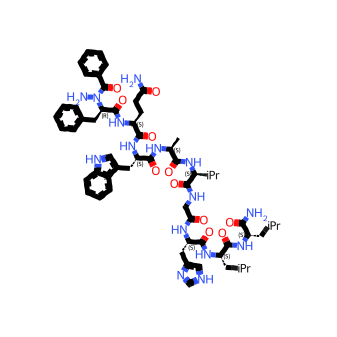 CC(C)C[C@H](NC(=O)[C@H](CC(C)C)NC(=O)[C@H](Cc1c[nH]cn1)NC(=O)CNC(=O)[C@@H](NC(=O)[C@H](C)NC(=O)[C@H](Cc1c[nH]c2ccccc12)NC(=O)[C@H](CCC(N)=O)NC(=O)[C@@H](Cc1ccccc1)N(N)C(=O)c1ccccc1)C(C)C)C(N)=O